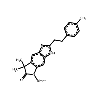 CCCCCN1C(=O)C(C)(C)c2cc3nc(CCc4ccc(C)cc4)[nH]c3cc21